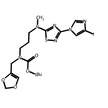 CN(CCCN(CC1=COCO1)C(=O)OC(C)(C)C)c1nc(-n2cnc(I)c2)ns1